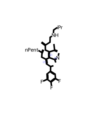 C=C(CCCCC)CC(=C/C(C)c1cc(F)c(F)c(F)c1)/C(C(/C)=N\C)=C(\CC(=C)CCNCC(C)C)C(=C)C